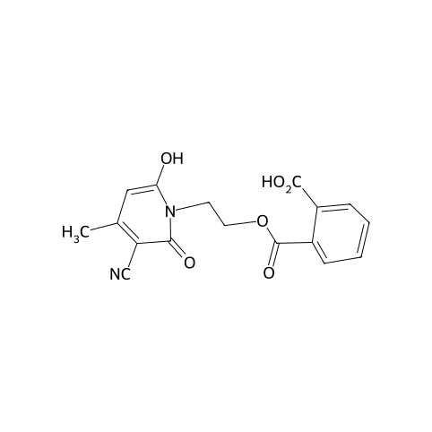 Cc1cc(O)n(CCOC(=O)c2ccccc2C(=O)O)c(=O)c1C#N